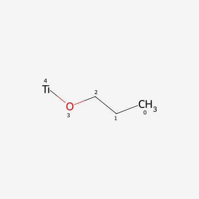 CCC[O][Ti]